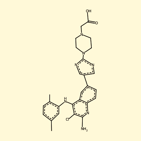 Cc1ccc(C)c(Nc2c(Cl)c(N)nc3ccc(-c4cnc(N5CCN(CC(=O)O)CC5)nc4)cc23)c1